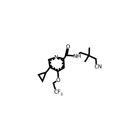 CC(C)(CC#N)CNC(=O)c1cc(OCC(F)(F)F)c(C2CC2)cn1